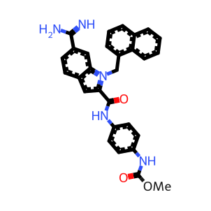 COC(=O)Nc1ccc(NC(=O)c2cc3ccc(C(=N)N)cc3n2Cc2cccc3ccccc23)cc1